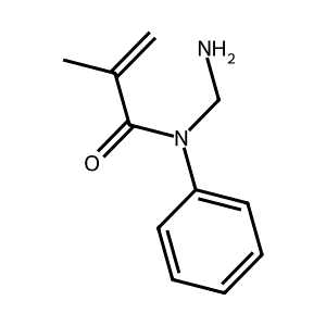 C=C(C)C(=O)N(CN)c1ccccc1